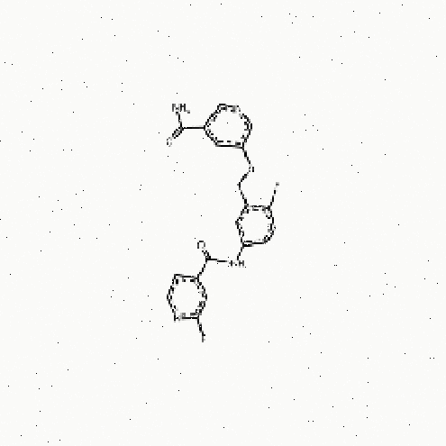 NC(=O)c1cncc(OCc2cc(NC(=O)c3ccnc(F)c3)ccc2F)c1